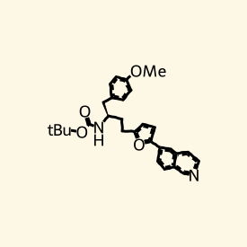 COc1ccc(C[C@@H](CCc2ccc(-c3ccc4cnccc4c3)o2)NC(=O)OC(C)(C)C)cc1